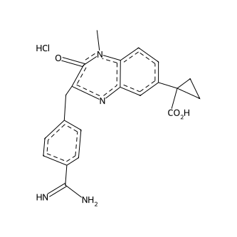 Cl.Cn1c(=O)c(Cc2ccc(C(=N)N)cc2)nc2cc(C3(C(=O)O)CC3)ccc21